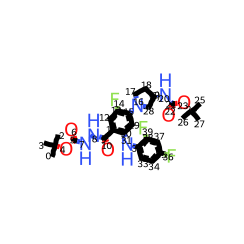 CC(C)(C)OC(=O)NNC(=O)c1cc(F)c(N2CC[C@H](NC(=O)OC(C)(C)C)C2)cc1Nc1ccc(F)cc1F